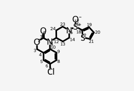 O=C1OCc2cc(Cl)ccc2N1C1CCN([S+]([O-])c2cccs2)CC1